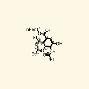 CCCCCOC(=O)c1cc(O)c(OC(=O)CC)c(OC(=O)CC)c1C(=O)CC